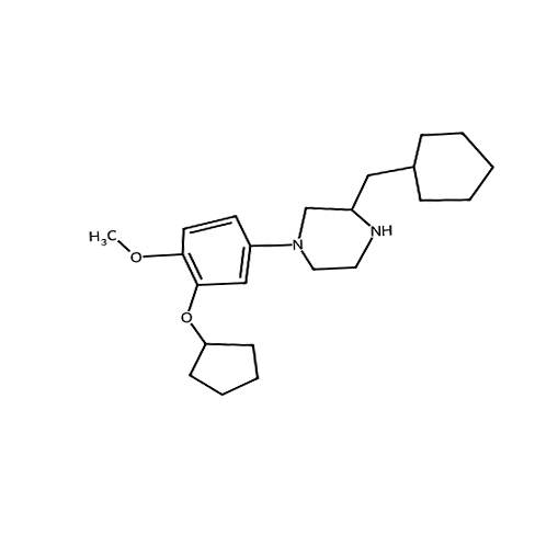 COc1ccc(N2CCNC(CC3CCCCC3)C2)cc1OC1CCCC1